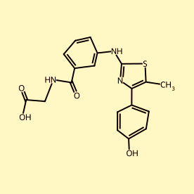 Cc1sc(Nc2cccc(C(=O)NCC(=O)O)c2)nc1-c1ccc(O)cc1